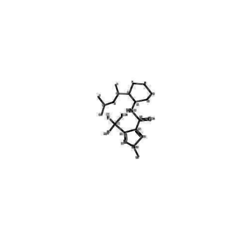 CC(C)CC(C)C1CCCCC1NC(=O)c1cn(C)nc1C(F)(F)F